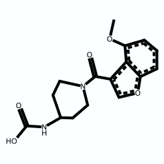 COc1cccc2occ(C(=O)N3CCC(NC(=O)O)CC3)c12